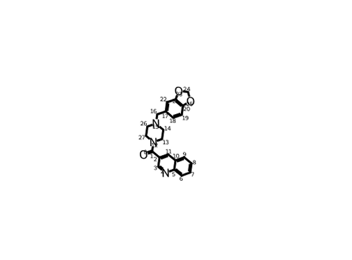 O=C(c1cnc2ccccc2c1)N1CCN(Cc2ccc3c(c2)OCO3)CC1